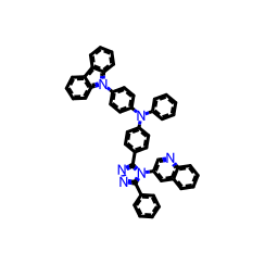 c1ccc(-c2nnc(-c3ccc(N(c4ccccc4)c4ccc(-n5c6ccccc6c6ccccc65)cc4)cc3)n2-c2cnc3ccccc3c2)cc1